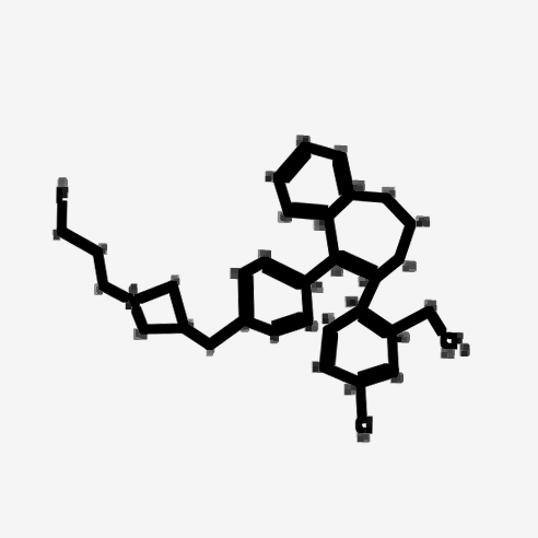 FCCCN1CC(Cc2ccc(C3=C(c4ccc(Cl)cc4CC(F)(F)F)CCCc4ccccc43)cc2)C1